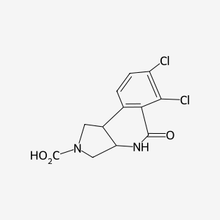 O=C1NC2CN(C(=O)O)CC2c2ccc(Cl)c(Cl)c21